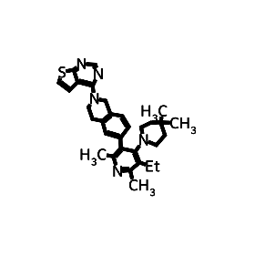 CCc1c(C)nc(C)c(-c2ccc3c(c2)CCN(c2ncnc4sccc24)C3)c1N1CCC(C)(C)CC1